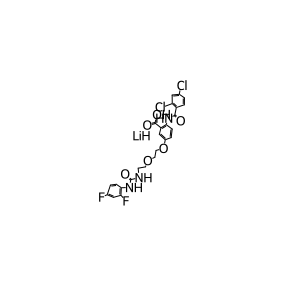 O=C(NCCOCCOc1ccc(NC(=O)c2ccc(Cl)cc2Cl)c(C(=O)O)c1)Nc1ccc(F)cc1F.[LiH]